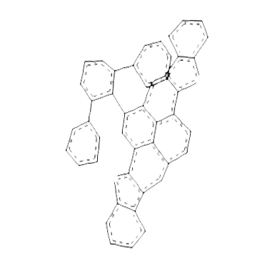 c1ccc(-c2cccc(-c3ccccc3)c2-c2cc3c4oc5ccccc5c4cc4ccc5c6oc7ccccc7c6cc2c5c43)cc1